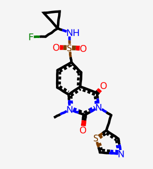 Cn1c(=O)n(Cc2cncs2)c(=O)c2cc(S(=O)(=O)NC3(CF)CC3)ccc21